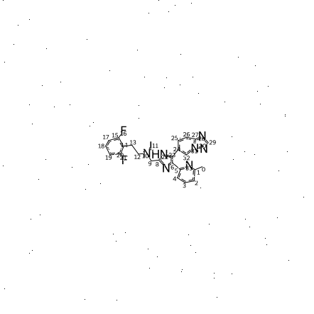 Cc1cccc(-c2nc(CN(I)CCc3c(F)cccc3F)[nH]c2-c2ccc3ncnn3c2)n1